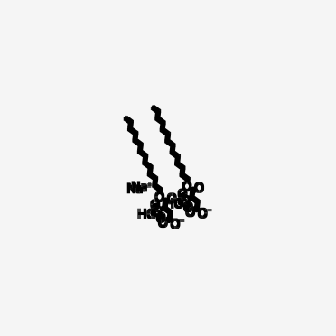 CCCCCCCCCCCCCCOC(=O)C(CC(=O)[O-])S(=O)(=O)O.CCCCCCCCCCCCCCOC(=O)C(CC(=O)[O-])S(=O)(=O)O.[Na+].[Na+]